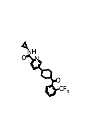 O=C(NC1CC1)c1ccc(C2CCC(C(=O)c3ccccc3C(F)(F)F)CC2)cn1